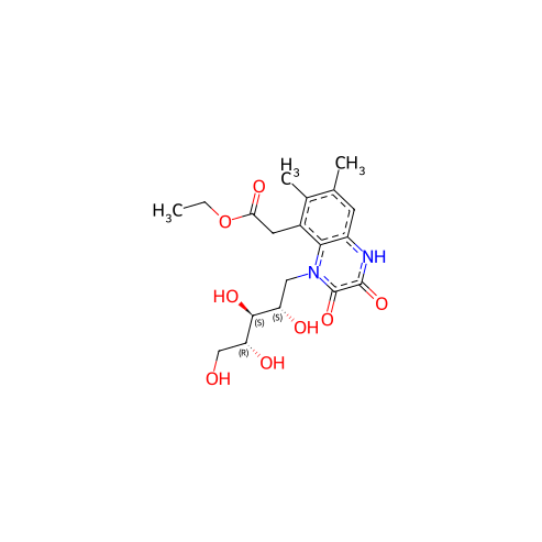 CCOC(=O)Cc1c(C)c(C)cc2[nH]c(=O)c(=O)n(C[C@H](O)[C@H](O)[C@H](O)CO)c12